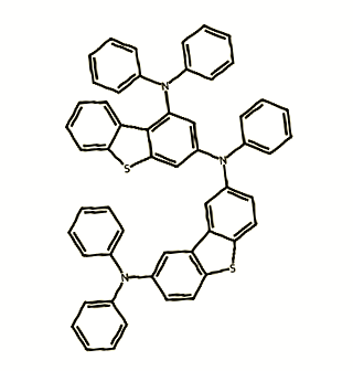 c1ccc(N(c2ccccc2)c2ccc3sc4ccc(N(c5ccccc5)c5cc(N(c6ccccc6)c6ccccc6)c6c(c5)sc5ccccc56)cc4c3c2)cc1